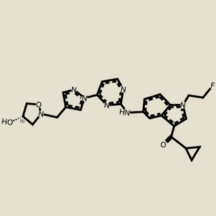 O=C(c1cn(CCF)c2ccc(Nc3nccc(-n4cc(CN5C[C@H](O)CO5)cn4)n3)cc12)C1CC1